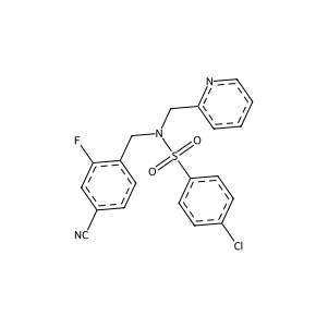 N#Cc1ccc(CN(Cc2ccccn2)S(=O)(=O)c2ccc(Cl)cc2)c(F)c1